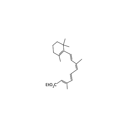 CCOC(=O)C=C(C)C=C/C=C(/C)C=CC1=C(C)CCCC1(C)C